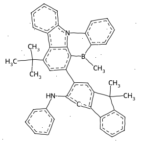 CB1c2ccccc2-n2c3ccccc3c3c(C(C)(C)C)cc(-c4cc5c(cc4Nc4ccccc4)-c4ccccc4C5(C)C)c1c32